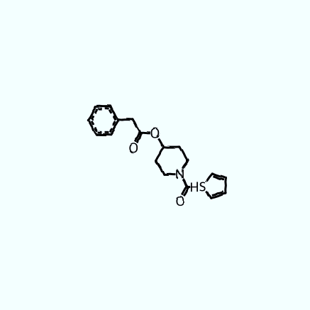 O=C(Cc1ccccc1)OC1CCN(C(=O)[SH]2C=CC=C2)CC1